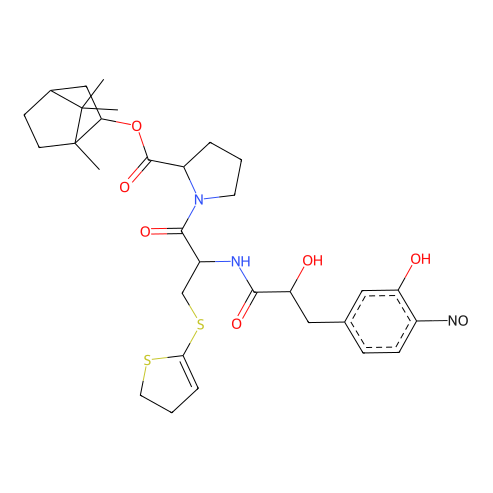 CC1(C)C2CCC1(C)C(OC(=O)C1CCCN1C(=O)C(CSC1=CCCS1)NC(=O)C(O)Cc1ccc(N=O)c(O)c1)C2